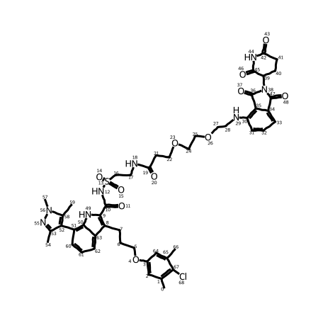 Cc1cc(OCCCc2c(C(=O)NS(=O)(=O)CCNC(=O)CCOCCOCCNc3cccc4c3C(=O)N(C3CCC(=O)NC3=O)C4=O)[nH]c3c(-c4c(C)nn(C)c4C)cccc23)cc(C)c1Cl